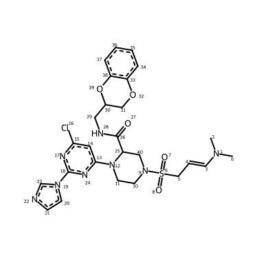 CN(C)C=CCS(=O)(=O)N1CCN(c2cc(Cl)nc(-n3ccnc3)n2)C(C(=O)NCC2COc3ccccc3O2)C1